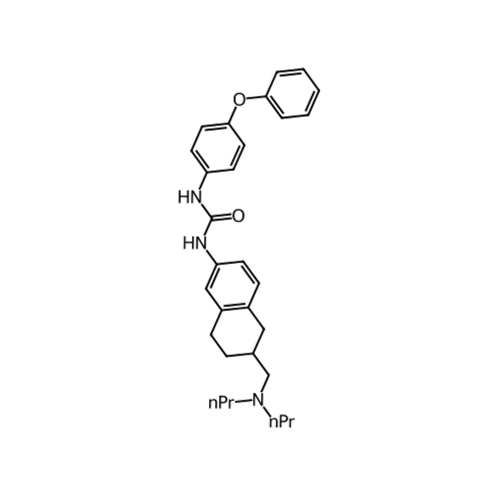 CCCN(CCC)CC1CCc2cc(NC(=O)Nc3ccc(Oc4ccccc4)cc3)ccc2C1